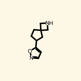 c1cc(C2CCC3(CNC3)C2)on1